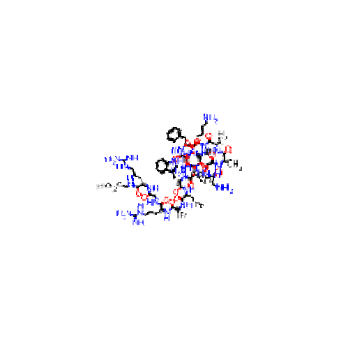 CC[C@H](C)[C@H](NC(=O)[C@H](Cc1ccccc1)NC(=O)[C@H](CCC(=O)O)NC(=O)[C@H](CCCCN)NC(=O)[C@H](C)NC(=O)[C@H](C)NC(=O)[C@H](CCC(N)=O)NC(=O)CN)C(=O)N[C@@H](C)C(=O)N[C@@H](Cc1c[nH]c2ccccc12)C(=O)N[C@@H](CC(C)C)C(=O)N[C@H](C(=O)N[C@@H](CCCNC(=N)N)C(=O)NCC(=O)N[C@@H](CCCNC(=N)N)C(=O)NCC(=O)O)C(C)C